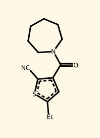 CCc1cc(C(=O)N2CCCCCC2)c(C#N)s1